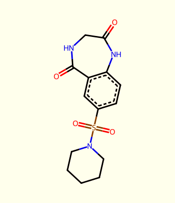 O=C1CNC(=O)c2cc(S(=O)(=O)N3CCCCC3)ccc2N1